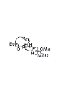 C=CC1C2[C@@H]3C[C@H](O[C@H](O)/C(OC)=C(/C)OC)CC3C=C[C@H]2[C@@H]2CC(=O)O[C@@H](CC)CCCC[C@@H](C)C(=O)C12